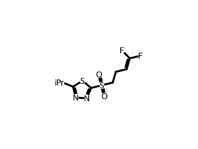 CC(C)c1nnc(S(=O)(=O)CCC=C(F)F)s1